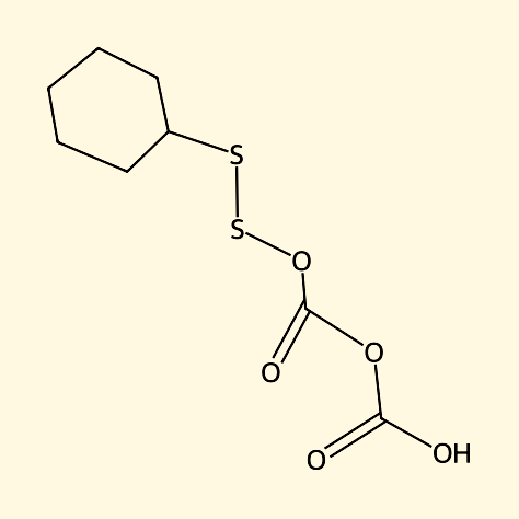 O=C(O)OC(=O)OSSC1CCCCC1